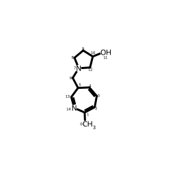 CC1=CC=CC(CN2CCC(O)C2)C=N1